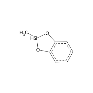 C[SiH]1Oc2ccccc2O1